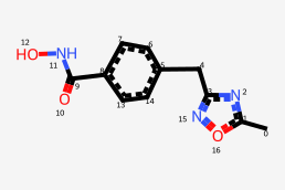 Cc1nc(Cc2ccc(C(=O)NO)cc2)no1